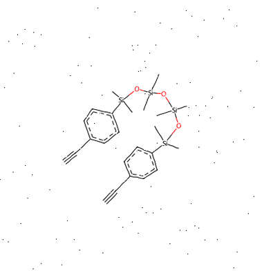 C#Cc1ccc([Si](C)(C)O[Si](C)(C)O[Si](C)(C)O[Si](C)(C)c2ccc(C#C)cc2)cc1